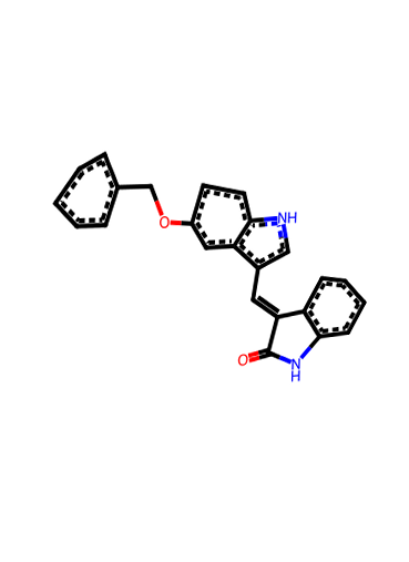 O=C1Nc2ccccc2/C1=C\c1c[nH]c2ccc(OCc3ccccc3)cc12